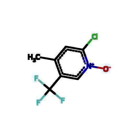 Cc1cc(Cl)[n+]([O-])cc1C(F)(F)F